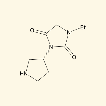 CCN1CC(=O)N([C@@H]2CCNC2)C1=O